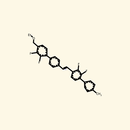 CCOCc1ccc(-c2ccc(/C=C/c3ccc(-c4ccc(C)cc4)c(F)c3F)cc2)c(F)c1F